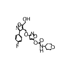 O=C(NC1CCOCC1)Oc1cc(OCc2c(-c3ccc(F)cc3)noc2CO)no1